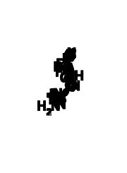 Cc1nc2c(C#Cc3cncc(C(=O)Nc4ccc(CN5CCN(C)CC5)c(C(F)(F)F)c4)c3)cnc(N)c2nc1C